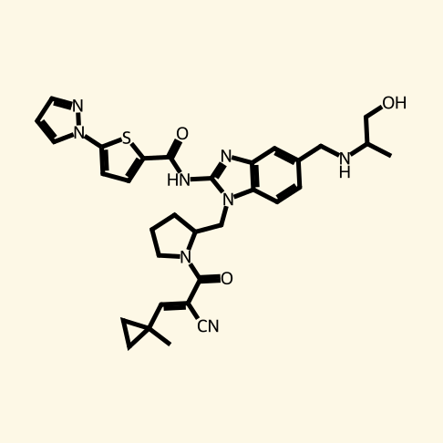 CC(CO)NCc1ccc2c(c1)nc(NC(=O)c1ccc(-n3cccn3)s1)n2CC1CCCN1C(=O)C(C#N)=CC1(C)CC1